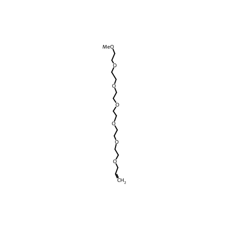 C=CCOCCOCCOCCOCCOCCOCCOC